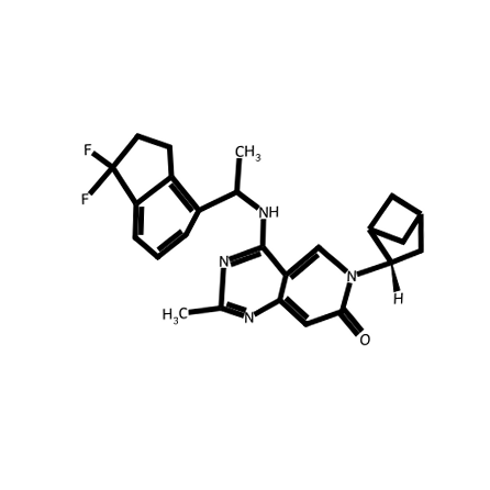 Cc1nc(NC(C)c2cccc3c2CCC3(F)F)c2cn([C@H]3CC4CC3C4)c(=O)cc2n1